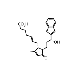 CC1=CC(=O)[C@H](CC[C@@H](O)c2cc3ccccc3s2)[C@H]1CC=CCCCC(=O)O